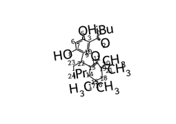 CCC(C)C(=O)c1c(O)cc(O)c2c1OC1=C(CC(C)(C)CC1(C)C)C2CC(C)C